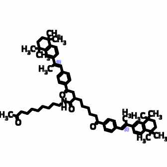 CC(=O)CCCCCCCCNC(=O)C(CCCCCC(=O)c1ccc(/C=C(\C)c2ccc3c(c2)C(C)(C)CCC3(C)C)cc1)CC(=O)c1ccc(/C=C(\C)c2ccc3c(c2)C(C)(C)CCC3(C)C)cc1